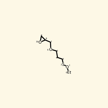 CCOSCCCOCC1CO1